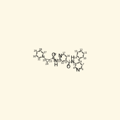 O=C(Nc1cnccc1-c1ccccc1)c1ccnc(NC(=O)C2CC2c2ccccc2)c1